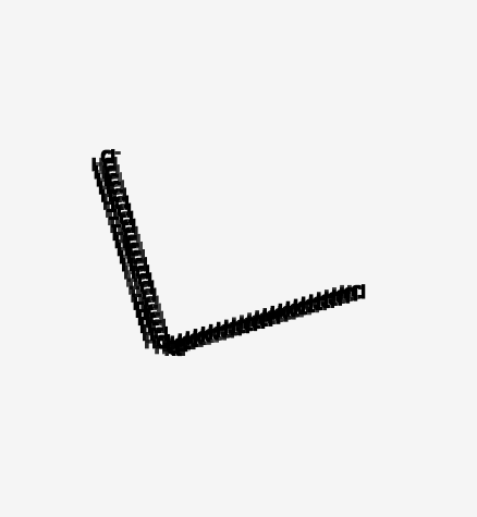 Cl.Cl.Cl.Cl.Cl.Cl.Cl.Cl.Cl.Cl.Cl.Cl.Cl.Cl.Cl.Cl.Cl.Cl.Cl.Cl.Cl.Cl.Cl.Cl.Cl.Cl.Cl.Cl.Cl.Cl.Cl.Cl.Cl.Cl.Cl.Cl.Cl.Cl.Cl.Cl.Cl.Cl.Cl.Cl.Cl.Cl.Cl.Cl.Cl.[Cl-].[Na+]